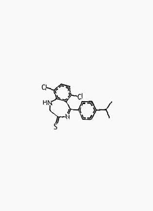 CC(C)c1ccc(C2=NC(=S)CNc3c(Cl)ccc(Cl)c32)cc1